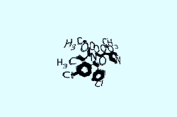 CCC[C@@H](C(=O)OCC)N1C(=O)C(C(OC(C)=O)c2ccncc2)O[C@H](c2ccc(Cl)cc2)[C@@H]1c1ccc(Cl)cc1